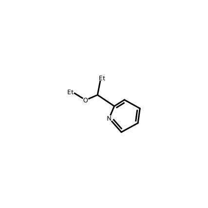 CCOC(CC)c1ccccn1